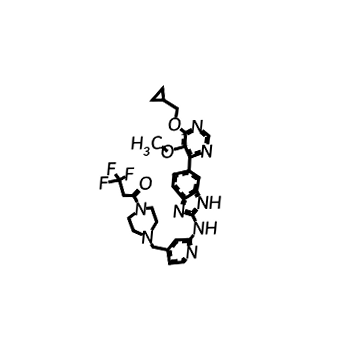 COc1c(OCC2CC2)ncnc1-c1ccc2nc(Nc3cc(CN4CCN(C(=O)CC(F)(F)F)CC4)ccn3)[nH]c2c1